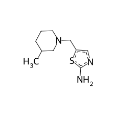 CC1CCCN(Cc2cnc(N)s2)C1